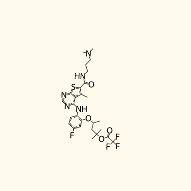 Cc1c(C(=O)NCCCN(C)C)sc2ncnc(Nc3ccc(F)cc3OC(C)CC(C)(C)OC(=O)C(F)(F)F)c12